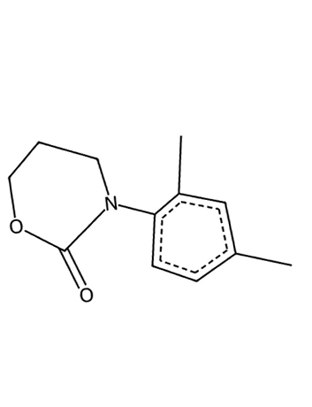 Cc1ccc(N2CCCOC2=O)c(C)c1